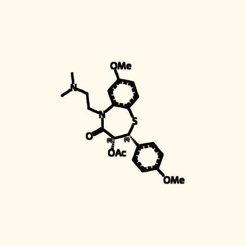 COc1ccc([C@H]2Sc3ccc(OC)cc3N(CCN(C)C)C(=O)[C@H]2OC(C)=O)cc1